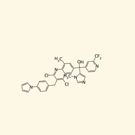 Cc1cc(C(O)(c2ccnc(C(F)(F)F)c2)c2cncn2C)cc2c(Cl)c(Cc3ccc(-n4cccc4)cc3)c(Cl)nc12